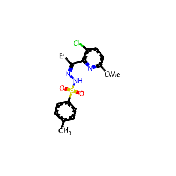 CCC(=NNS(=O)(=O)c1ccc(C)cc1)c1nc(OC)ccc1Cl